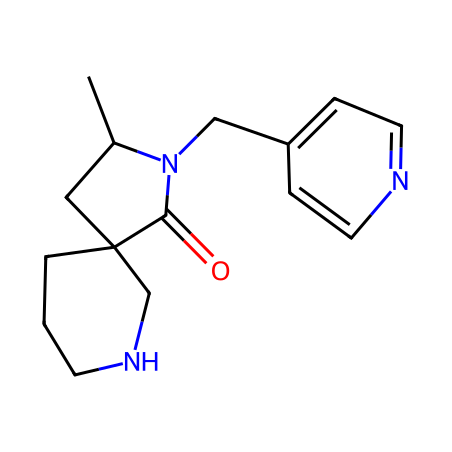 CC1CC2(CCCNC2)C(=O)N1Cc1ccncc1